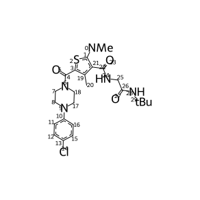 CNc1sc(C(=O)N2CCN(c3ccc(Cl)cc3)CC2)c(C)c1C(=O)NCC(=O)NC(C)(C)C